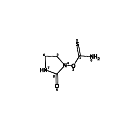 NC(=S)ON1CCNC1=O